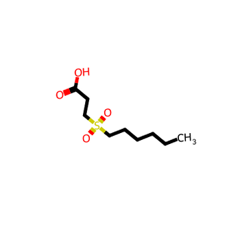 CCCCCCS(=O)(=O)CCC(=O)O